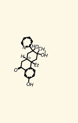 CCC12CC(C)(O)C(O)(c3ccccn3)C[C@H]1CC(=O)c1cc(O)ccc12